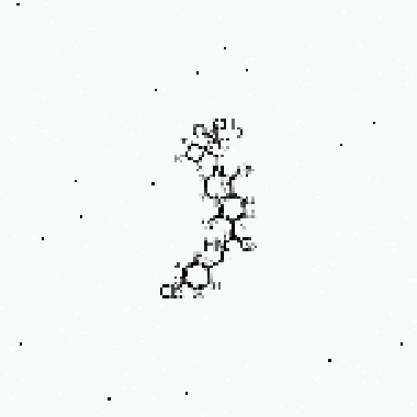 CS(=O)(=O)C1(CN2CCn3c(ccc(C(=O)NCc4ccc(Cl)cc4)c3=O)C2=O)CCC1